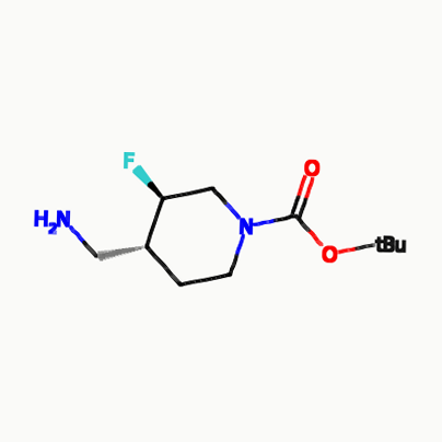 CC(C)(C)OC(=O)N1CC[C@H](CN)[C@@H](F)C1